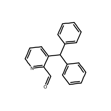 O=Cc1ncccc1C(c1ccccc1)c1ccccc1